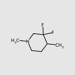 CC1CCN(C)CC1(F)F